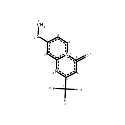 CSc1ccn2c(=O)cc(C(F)(F)F)nc2c1